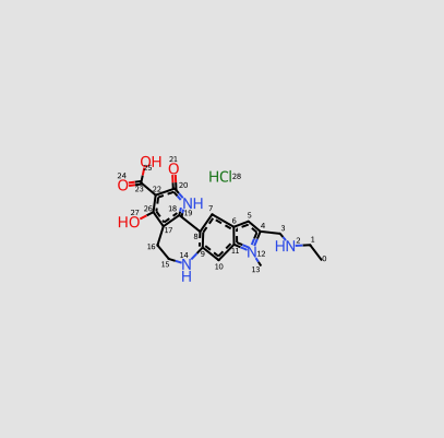 CCNCc1cc2cc3c(cc2n1C)NCCc1c-3[nH]c(=O)c(C(=O)O)c1O.Cl